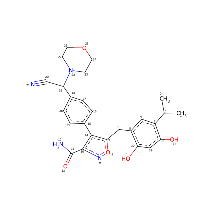 CC(C)c1cc(Cc2onc(C(N)=O)c2-c2ccc(C(C#N)N3CCOCC3)cc2)c(O)cc1O